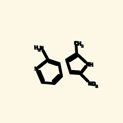 Cc1ccc([N+](=O)[O-])[nH]1.Nc1ccccn1